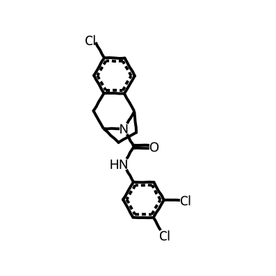 O=C(Nc1ccc(Cl)c(Cl)c1)N1C2CCC1c1ccc(Cl)cc1C2